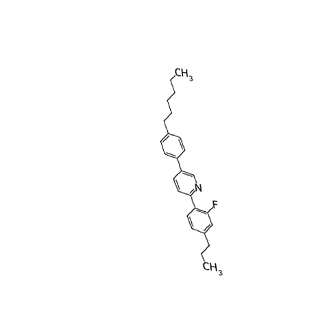 CCCCCCc1ccc(-c2ccc(-c3ccc(CCC)cc3F)nc2)cc1